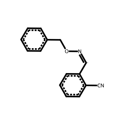 N#Cc1ccccc1/[C]=N\OCc1ccccc1